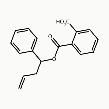 C=CCC(OC(=O)c1ccccc1C(=O)O)c1ccccc1